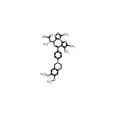 COc1cc2c(cc1OC)CN(c1ccc(C3=NC([C@H](C)C(=O)O)c4nnc(C)n4-c4sc(C)c(C)c43)cc1)CC2